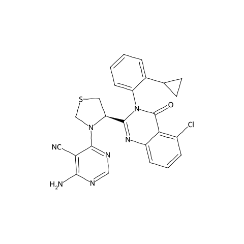 N#Cc1c(N)ncnc1N1CSC[C@H]1c1nc2cccc(Cl)c2c(=O)n1-c1ccccc1C1CC1